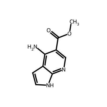 COC(=O)c1cnc2[nH]ccc2c1N